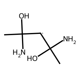 CC(N)(O)[CH]C(C)(N)O